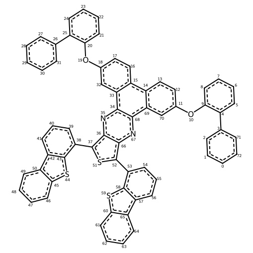 c1ccc(-c2ccccc2Oc2ccc3c4ccc(Oc5ccccc5-c5ccccc5)cc4c4nc5c(-c6cccc7c6sc6ccccc67)sc(-c6cccc7c6sc6ccccc67)c5nc4c3c2)cc1